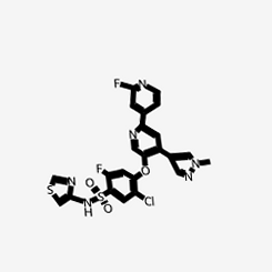 Cn1cc(-c2cc(-c3ccnc(F)c3)ncc2Oc2cc(F)c(S(=O)(=O)Nc3cscn3)cc2Cl)cn1